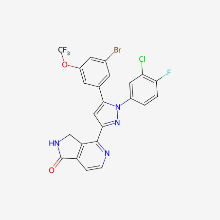 O=C1NCc2c1ccnc2-c1cc(-c2cc(Br)cc(OC(F)(F)F)c2)n(-c2ccc(F)c(Cl)c2)n1